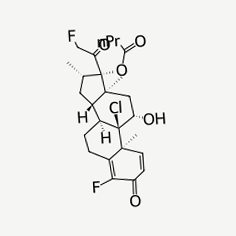 CCCC(=O)O[C@@]1(C(=O)CF)[C@@H](C)C[C@H]2[C@@H]3CCC4=C(F)C(=O)C=C[C@]4(C)[C@@]3(Cl)[C@@H](O)C[C@@]21C